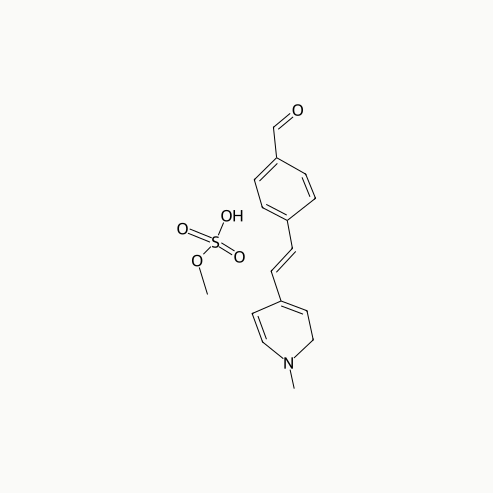 CN1C=CC(C=Cc2ccc(C=O)cc2)=CC1.COS(=O)(=O)O